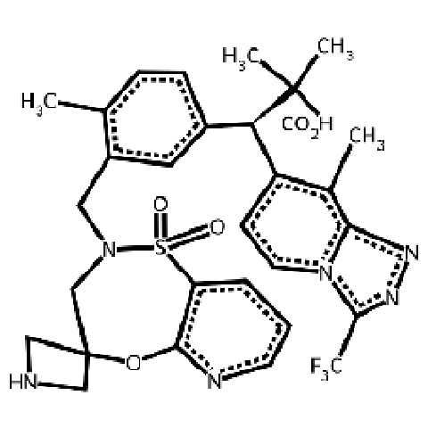 Cc1ccc([C@H](c2ccn3c(C(F)(F)F)nnc3c2C)C(C)(C)C(=O)O)cc1CN1CC2(CNC2)Oc2ncccc2S1(=O)=O